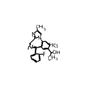 Cc1cn2c(n1)CN=C(c1ccccc1F)c1cc(C(C)O)ccc1-2.Cl